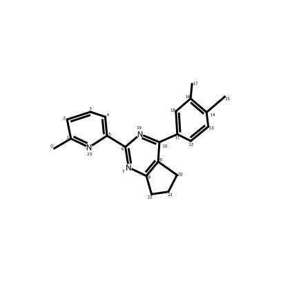 Cc1cccc(-c2nc3c(c(-c4ccc(C)c(C)c4)n2)CCC3)n1